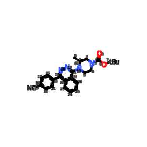 C[C@H]1CN(C(=O)OC(C)(C)C)CCN1c1nnc(-c2ccc(C#N)cc2)c2ccccc12